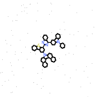 c1ccc(-n2c3ccccc3c3cc(-c4nc(-c5cc(-n6c7ccc8ccccc8c7c7c8ccccc8ccc76)cc6c5sc5ccccc56)nc5ccccc45)ccc32)cc1